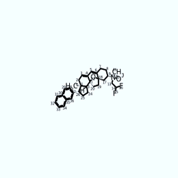 C[C@]12CC=C3C=C4CC[C@H]([N+](C)([O-])CC(F)F)C[C@]45CC[C@]3(O5)[C@@H]1CC[C@@H]2c1ccc2ccccc2c1